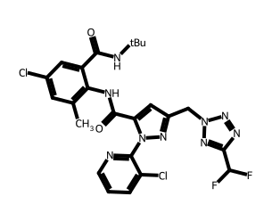 Cc1cc(Cl)cc(C(=O)NC(C)(C)C)c1NC(=O)c1cc(Cn2nnc(C(F)F)n2)nn1-c1ncccc1Cl